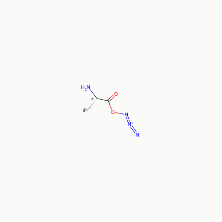 CC(C)[C@H](N)C(=O)ON=[N+]=[N-]